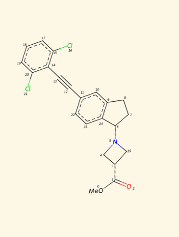 COC(=O)C1CN(C2CCc3cc(C#Cc4c(Cl)cccc4Cl)ccc32)C1